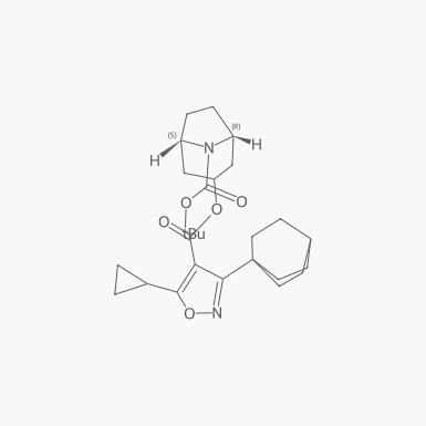 CC(C)(C)OC(=O)N1[C@@H]2CC[C@H]1CC(OC(=O)c1c(C34CCC(CC3)CC4)noc1C1CC1)C2